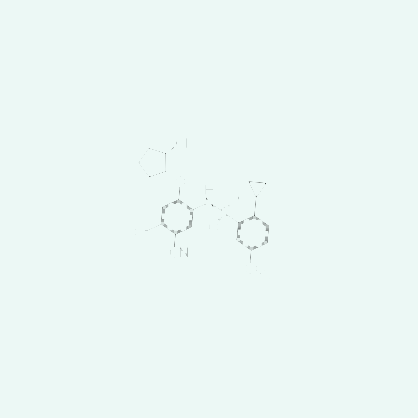 C[C@@H]1CCC[C@H]1Oc1cc(Cl)c(C#N)cc1NS(=O)(=O)c1cc(C(=O)O)ccc1C1CC1